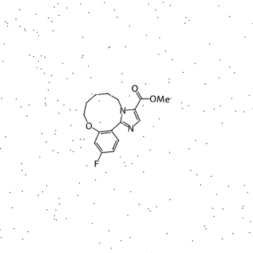 COC(=O)c1cnc2n1CCCCCOc1cc(F)ccc1-2